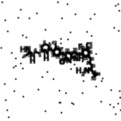 CC(=N)NCC[C@@H]1CCC[C@@H](c2ccc(-n3cc4cc(-c5cc(CCC[C@@H](N)C6CC6)cc(Cl)c5F)[nH]c4nc3=O)cc2C)N1